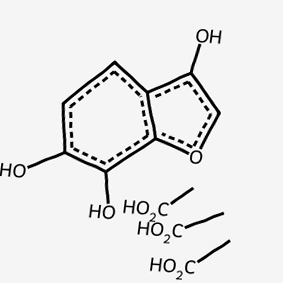 CC(=O)O.CC(=O)O.CC(=O)O.Oc1ccc2c(O)coc2c1O